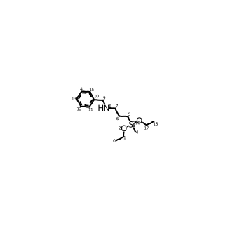 CCO[Si](C)(CCCNCc1ccccc1)OCC